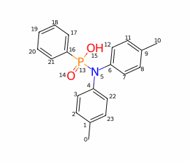 Cc1ccc(N(c2ccc(C)cc2)P(=O)(O)c2ccccc2)cc1